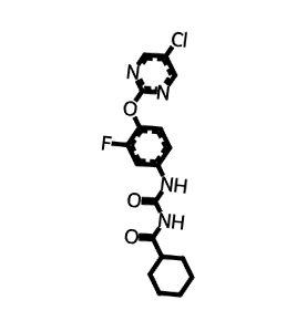 O=C(NC(=O)C1CCCCC1)Nc1ccc(Oc2ncc(Cl)cn2)c(F)c1